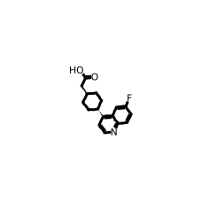 O=C(O)C[C@H]1CC[C@H](c2ccnc3ccc(F)cc32)CC1